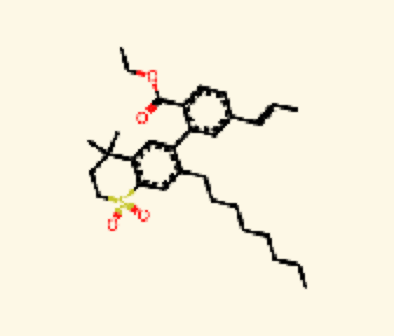 CC=Cc1ccc(C(=O)OCC)c(-c2cc3c(cc2CCCCCCCC)S(=O)(=O)CCC3(C)C)c1